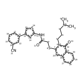 CN(C)CCCn1c(SCC(=O)Nc2nc(-c3cccc(C#N)c3)cs2)nc2ccccc2c1=O